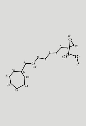 COC(=O)C1(CCCCCOCC2CCCCCC2)CO1